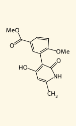 COC(=O)c1ccc(OC)c(-c2c(O)cc(C)[nH]c2=O)c1